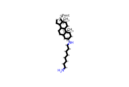 CCC[C@@H](C)[C@H]1CCC2C3CCC4C[C@@H](NCCCCCCCCN)CC[C@]4(C)C3CC[C@@]21C